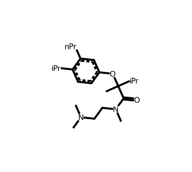 CCCc1cc(OC(C)(C(=O)N(C)CCN(C)C)C(C)C)ccc1C(C)C